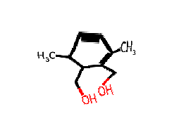 CC1=C(CO)C(CO)C(C)C=C1